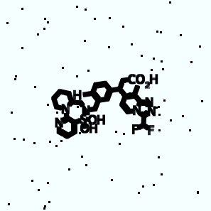 Cc1ccc(C(CC(=O)O)c2ccn3c(C(F)F)nnc3c2C)cc1CN1C[C@@H]2CCCCN2c2ncccc2S1(O)O